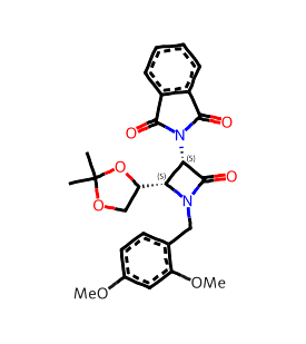 COc1ccc(CN2C(=O)[C@@H](N3C(=O)c4ccccc4C3=O)[C@H]2C2COC(C)(C)O2)c(OC)c1